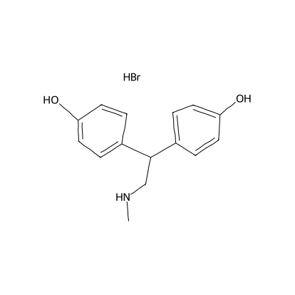 Br.CNCC(c1ccc(O)cc1)c1ccc(O)cc1